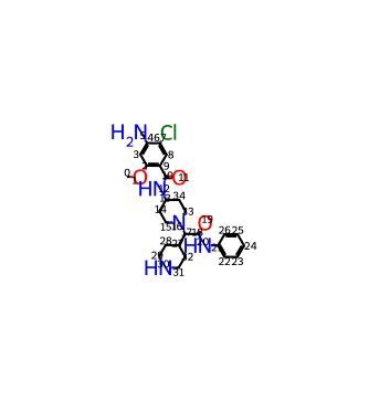 COc1cc(N)c(Cl)cc1C(=O)NC1CCN(C(C(=O)Nc2ccccc2)C2CCNCC2)CC1